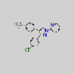 Cc1ccc(-c2cn(-c3ccccn3)nc2-c2ccc(Cl)cc2)cc1